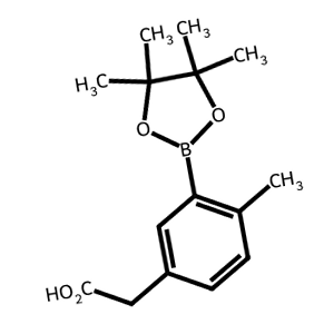 Cc1ccc(CC(=O)O)cc1B1OC(C)(C)C(C)(C)O1